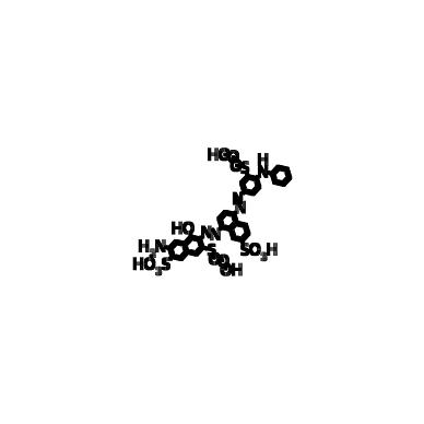 Nc1cc2c(O)c(N=Nc3ccc(N=Nc4ccc(Nc5ccccc5)c(SOOO)c4)c4ccc(S(=O)(=O)O)cc34)c(SOOO)cc2cc1S(=O)(=O)O